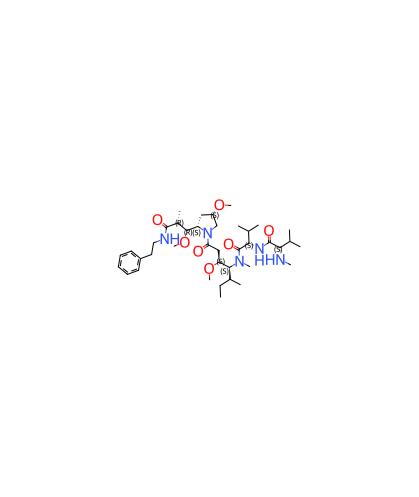 CCC(C)[C@@H]([C@H](CC(=O)N1C[C@@H](OC)C[C@H]1[C@H](OC)[C@@H](C)C(=O)NCCc1ccccc1)OC)N(C)C(=O)[C@@H](NC(=O)[C@@H](NC)C(C)C)C(C)C